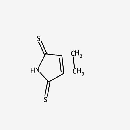 CC.S=C1C=CC(=S)N1